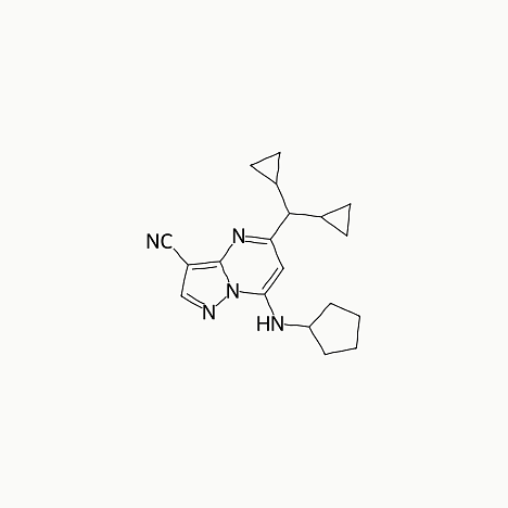 N#Cc1cnn2c(NC3CCCC3)cc(C(C3CC3)C3CC3)nc12